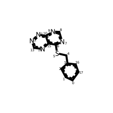 c1ccc(CSc2ncnc3nncnc23)cc1